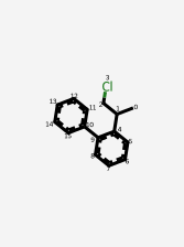 CC(CCl)c1ccccc1-c1ccccc1